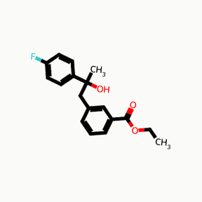 CCOC(=O)c1cccc(CC(C)(O)c2ccc(F)cc2)c1